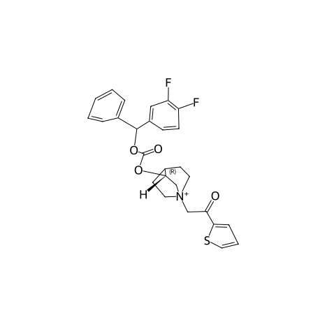 O=C(OC(c1ccccc1)c1ccc(F)c(F)c1)O[C@H]1C[N+]2(CC(=O)c3cccs3)CCC1CC2